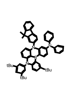 CC(C)(C)c1cc(N2c3ccc(C(C)(C)C)cc3B3c4ccc(N(c5ccccc5)c5ccccc5)cc4N(c4ccc5c(c4)C(C)(C)c4ccccc4-5)c4cccc2c43)cc(C(C)(C)C)c1